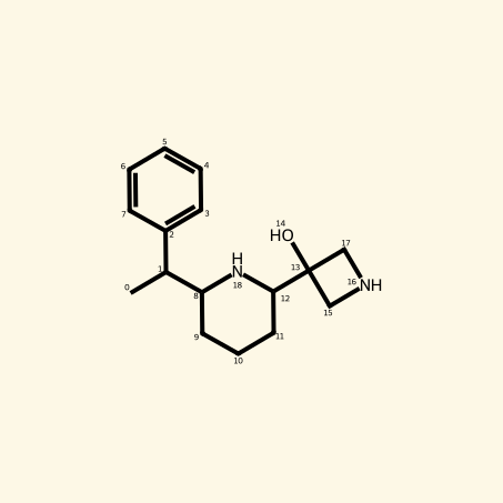 CC(c1ccccc1)C1CCCC(C2(O)CNC2)N1